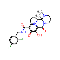 CN1CCCN2C(=O)c3c(O)c(=O)c(C(=O)NCc4ccc(F)cc4F)c4n3C(CC4)C12C